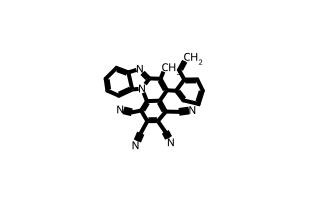 C=Cc1ccccc1-c1c(C)c2nc3ccccc3n2c2c(C#N)c(C#N)c(C#N)c(C#N)c12